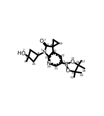 CC1(O)CC(N2C(=O)C3(CC3)c3cc(B4OC(C)(C)C(C)(C)O4)cnc32)C1